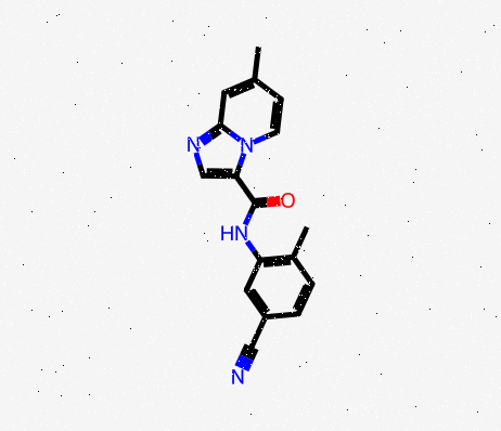 Cc1ccn2c(C(=O)Nc3cc(C#N)ccc3C)cnc2c1